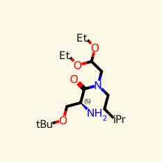 CCOC(CN(CCC(C)C)C(=O)[C@@H](N)COC(C)(C)C)OCC